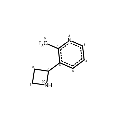 FC(F)(F)c1ncccc1C1CCN1